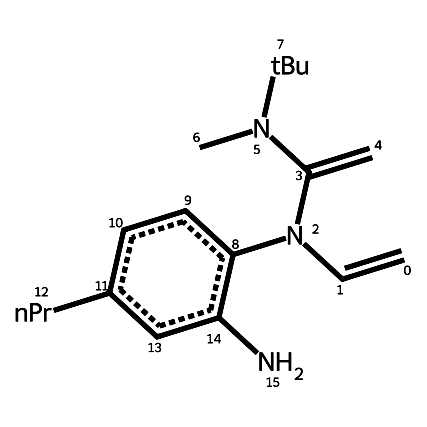 C=CN(C(=C)N(C)C(C)(C)C)c1ccc(CCC)cc1N